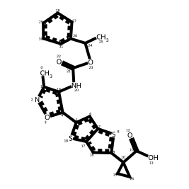 Cc1noc(-c2cc3sc(C4(C(=O)O)CC4)cc3s2)c1NC(=O)OC(C)c1ccccc1